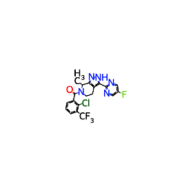 CC1c2n[nH]c(-c3ncc(F)cn3)c2CCN1C(=O)c1cccc(C(F)(F)F)c1Cl